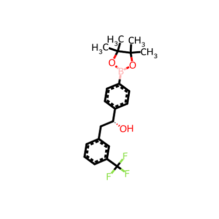 CC1(C)OB(c2ccc([C@H](O)Cc3cccc(C(F)(F)F)c3)cc2)OC1(C)C